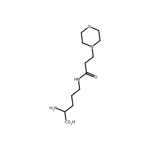 NC(CCCNC(=O)CCN1CCOCC1)C(=O)O